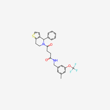 Cc1cc(CNC(=O)CCC(=O)N2CCc3sccc3C2c2ccccc2)cc(OC(F)(F)F)c1